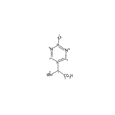 CC(C)(C)C(C(=O)O)c1cnc(Cl)nc1